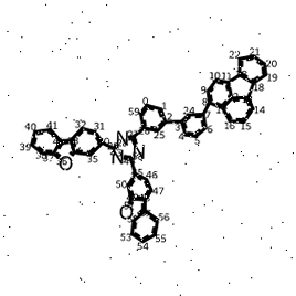 c1cc(-c2cccc(-c3ccc4c5c(cccc35)-c3ccccc3-4)c2)cc(-c2nc(-c3ccc4c(c3)oc3ccccc34)nc(-c3ccc4c(c3)oc3ccccc34)n2)c1